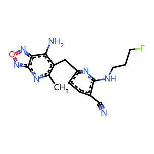 Cc1nc2nonc2c(N)c1Cc1ccc(C#N)c(NCCCF)n1